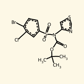 CC(C)(C)OC(=O)N(c1cscn1)S(=O)(=O)c1ccc(Br)c(Cl)c1